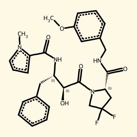 COc1cccc(CNC(=O)[C@@H]2CC(F)(F)CN2C(=O)[C@@H](O)[C@H](Cc2ccccc2)NC(=O)c2cccn2C)c1